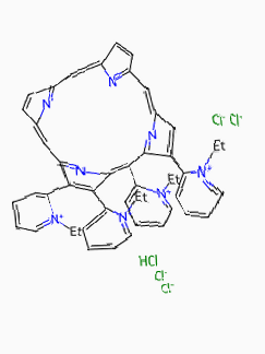 CC[n+]1ccccc1C1=CC2=CC3=NC(=CC4=NC(=CC5=NC(=C(c6cccc[n+]6CC)C1=N2)C(c1cccc[n+]1CC)=C5c1cccc[n+]1CC)C=C4)C=C3.Cl.[Cl-].[Cl-].[Cl-].[Cl-]